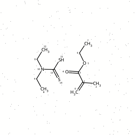 C=C(C)C(=O)OCC.CCN(CC)C(=S)S